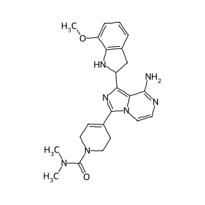 COc1cccc2c1NC(c1nc(C3=CCN(C(=O)N(C)C)CC3)n3ccnc(N)c13)C2